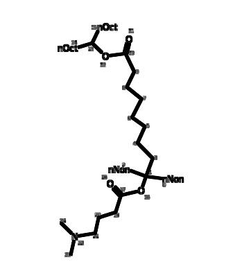 CCCCCCCCCC(CCCCCCCCC)(CCCCCCCC(=O)OC(CCCCCCCC)CCCCCCCC)OC(=O)CCCN(C)C